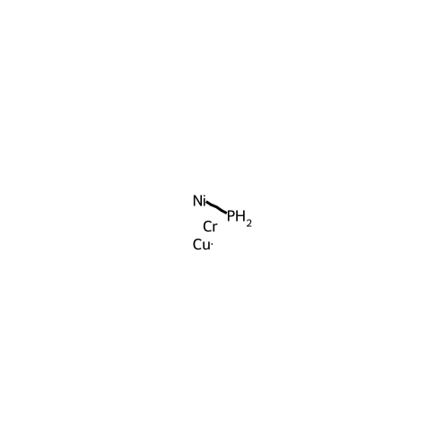 [Cr].[Cu].[PH2][Ni]